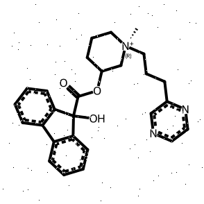 C[N@@+]1(CCCc2cnccn2)CCCC(OC(=O)C2(O)c3ccccc3-c3ccccc32)C1